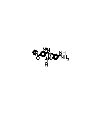 Cl.N=C(N)c1ccc(O)c(CNc2ncnc3cc(C(=O)N4CC=CC4)ccc23)c1